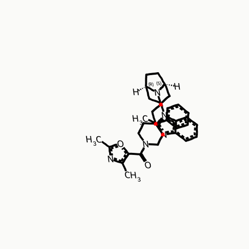 Cc1nc(C)c(C(=O)N2CCC(CCN3[C@@H]4CC[C@H]3CC(n3c(C)nc5ccccc53)C4)(c3ccccc3)CC2)o1